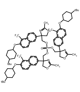 CC1=NC(COP(=O)(OCC2(c3ccc4c(C(F)(F)F)c(OC5CCC(C(C)(C)C)CC5)ccc4c3)COC(C)=N2)OCC2(c3ccc4c(C(F)(F)F)c(OC5CCC(C(C)(C)C)CC5)ccc4c3)COC(C)=N2)(c2ccc3c(C(F)(F)F)c(OC4CCC(C(C)(C)C)CC4)ccc3c2)CO1